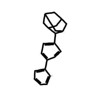 [c]1ccccc1-c1ccc(C2C3CC4CC(C3)CC2C4)cc1